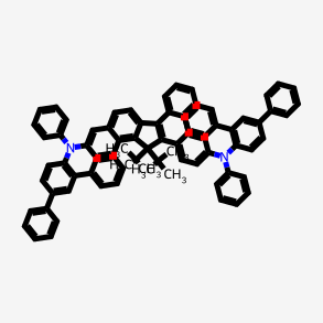 CC(C)(C)C1(C(C)(C)C)c2c(ccc3cc(N(c4ccccc4)c4ccc(-c5ccccc5)cc4-c4ccccc4)ccc23)-c2c1c1ccc(N(c3ccccc3)c3ccc(-c4ccccc4)cc3-c3ccccc3)cc1c1ccccc21